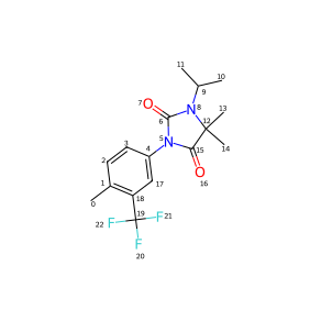 Cc1ccc(N2C(=O)N(C(C)C)C(C)(C)C2=O)cc1C(F)(F)F